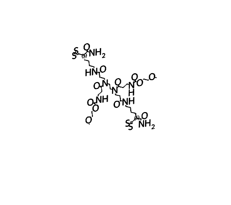 COCCOC(=O)NCCC(=O)N(CCC(=O)NCCCC[C@@H](C(N)=O)C1SS1)CCN(CCC(=O)NCCCC[C@@H](C(N)=O)C1SS1)C(=O)CCNC(=O)OCCOC